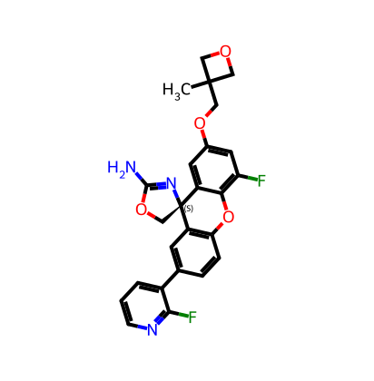 CC1(COc2cc(F)c3c(c2)[C@]2(COC(N)=N2)c2cc(-c4cccnc4F)ccc2O3)COC1